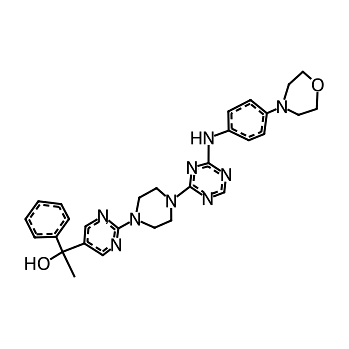 CC(O)(c1ccccc1)c1cnc(N2CCN(c3ncnc(Nc4ccc(N5CCOCC5)cc4)n3)CC2)nc1